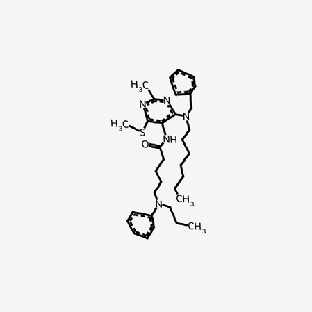 CCCCCCCN(Cc1ccccc1)c1nc(C)nc(SC)c1NC(=O)CCCCN(CCC)c1ccccc1